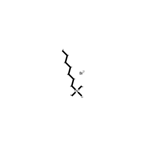 CCCCCCC[N+](C)(C)C.[Br-]